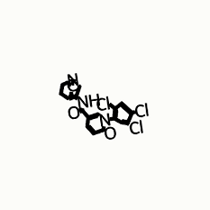 O=C(NC1CN2CCC1CC2)c1ccc(=O)n(-c2cc(Cl)c(Cl)cc2Cl)c1